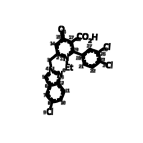 CCn1c(Cn2cc3cc(Cl)ccc3n2)cc(=O)c(C(=O)O)c1-c1ccc(Cl)c(Cl)c1